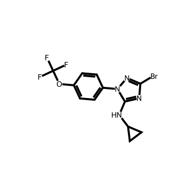 FC(F)(F)Oc1ccc(-n2nc(Br)nc2NC2CC2)cc1